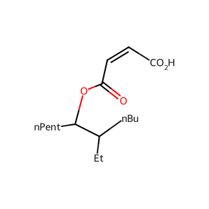 CCCCCC(OC(=O)/C=C\C(=O)O)C(CC)CCCC